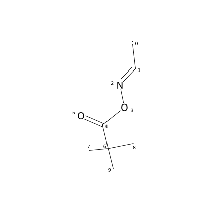 [CH2]C=NOC(=O)C(C)(C)C